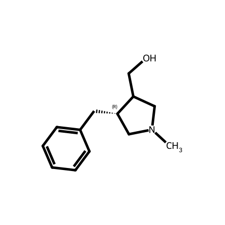 CN1CC(CO)[C@@H](Cc2ccccc2)C1